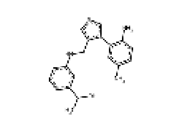 CC(O)c1cccc(NCc2cscc2-c2cc(N)ccc2N)c1